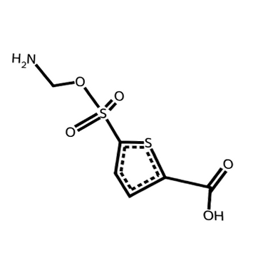 NCOS(=O)(=O)c1ccc(C(=O)O)s1